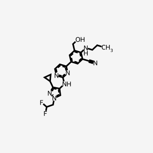 CCCNc1c(C#N)cc(-c2ccnc(Nc3cn(CC(F)F)nc3C3CC3)n2)cc1CO